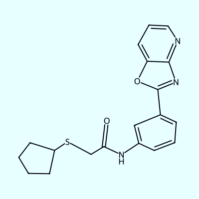 O=C(CSC1CCCC1)Nc1cccc(-c2nc3ncccc3o2)c1